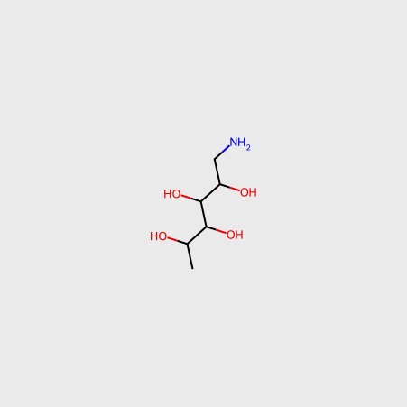 CC(O)C(O)C(O)C(O)CN